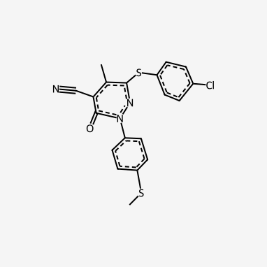 CSc1ccc(-n2nc(Sc3ccc(Cl)cc3)c(C)c(C#N)c2=O)cc1